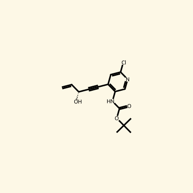 C=C[C@@H](O)C#Cc1cc(Cl)ncc1NC(=O)OC(C)(C)C